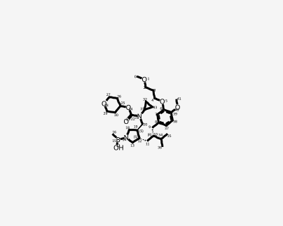 COCCCOc1cc(C[C@@H](C[C@@H]2CN(B(C)O)C[C@H]2CN(C(=O)OC2CCOCC2)C2CC2)C(C)C)ccc1OC